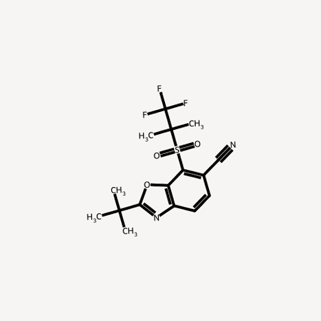 CC(C)(C)c1nc2ccc(C#N)c(S(=O)(=O)C(C)(C)C(F)(F)F)c2o1